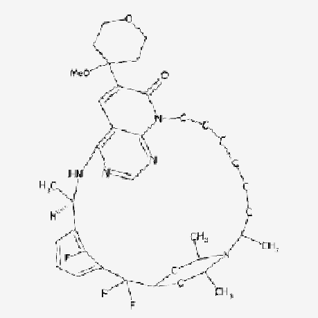 COC1(c2cc3c4ncnc3n(c2=O)CCCCCCC(C)N2C(C)CC(CC2C)C(F)(F)c2cccc(c2F)[C@@H](C)N4)CCOCC1